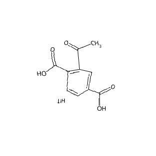 CC(=O)c1cc(C(=O)O)ccc1C(=O)O.[LiH]